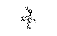 Cc1ccc(Cn2c(-c3cccc(C(F)(F)F)c3)nc(N(C)C=O)c2C(=O)N(C)CCCO)nc1